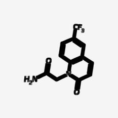 NC(=O)Cn1c(=O)ccc2cc(C(F)(F)F)ccc21